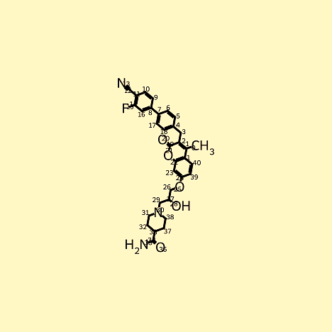 Cc1c(Cc2ccc(-c3ccc(C#N)c(F)c3)cc2)c(=O)oc2cc(OCC(O)CN3CCC(C(N)=O)CC3)ccc12